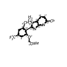 COCOc1cc(C(F)(F)F)cc(C)c1-c1nc2nc(Cl)ccc2n1C